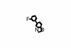 Fc1cccc(-c2ccc3c(c2)N=CCO3)c1